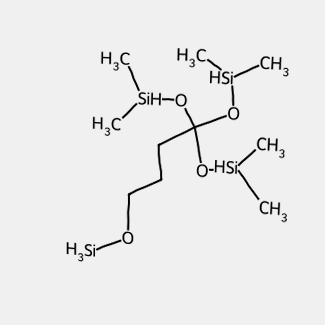 C[SiH](C)OC(CCCO[SiH3])(O[SiH](C)C)O[SiH](C)C